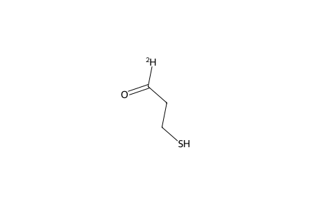 [2H]C(=O)CCS